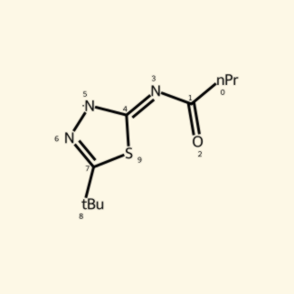 CCCC(=O)N=C1[N]N=C(C(C)(C)C)S1